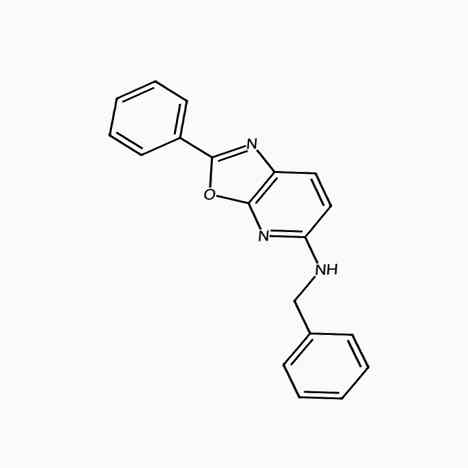 c1ccc(CNc2ccc3nc(-c4ccccc4)oc3n2)cc1